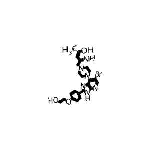 C/C(O)=C/C(=N)CN1CCN(c2c(Br)cnc3[nH]c(-c4ccc(OCCO)cc4)nc23)CC1